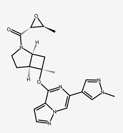 C[C@@H]1O[C@H]1C(=O)N1CC[C@H]2[C@@H]1C[C@@]2(C)Oc1nc(-c2cnn(C)c2)cn2nccc12